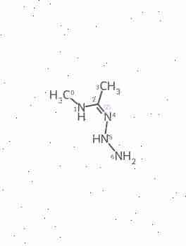 CN/C(C)=N\NN